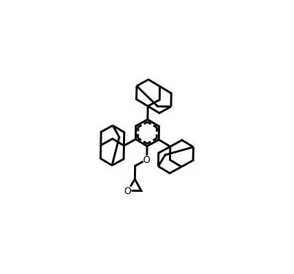 c1c(C23CC4CC(CC(C4)C2)C3)cc(C23CC4CC(CC(C4)C2)C3)c(OCC2CO2)c1C12CC3CC(CC(C3)C1)C2